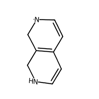 C1=CC2=C(C[N]1)CNC=C2